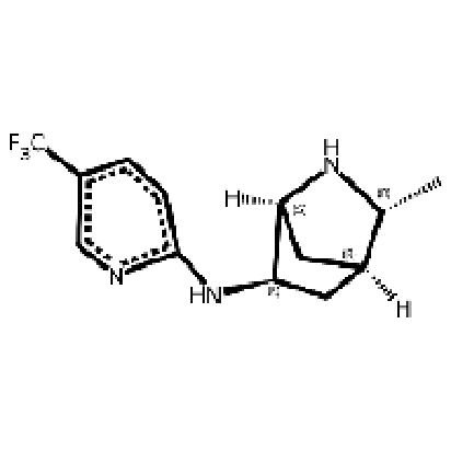 C[C@H]1N[C@H]2C[C@@H]1C[C@H]2Nc1ccc(C(F)(F)F)cn1